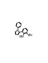 CC(C)(C)c1cccc(-c2cccn2-c2ccccc2)c1C(C)(C)C